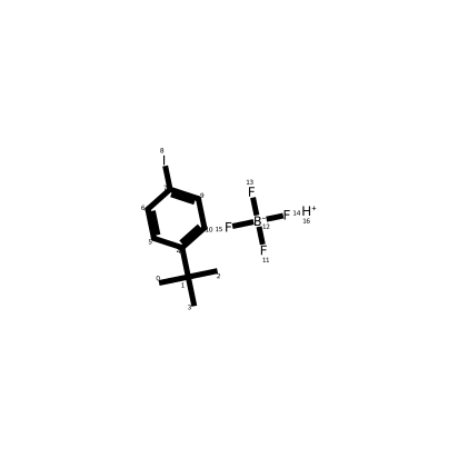 CC(C)(C)c1ccc(I)cc1.F[B-](F)(F)F.[H+]